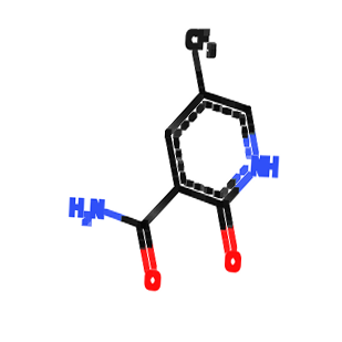 NC(=O)c1cc(C(F)(F)F)c[nH]c1=O